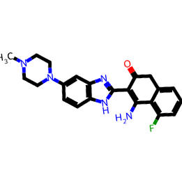 CN1CCN(c2ccc3[nH]c(C4=C(N)c5c(F)cccc5CC4=O)nc3c2)CC1